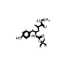 CC(CC(Cc1ccc(O)cc1)NC(=O)OC(C)(C)C)C(=O)NN